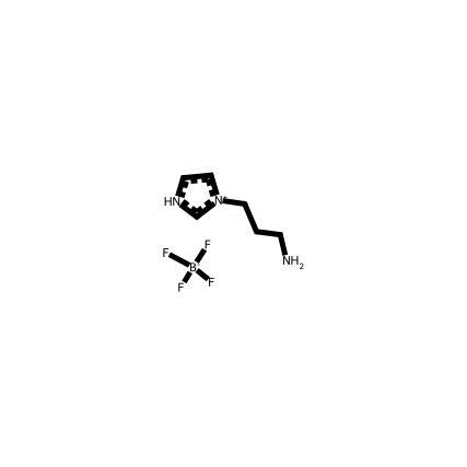 F[B-](F)(F)F.NCCC[n+]1cc[nH]c1